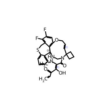 C=CC(=O)/C(O)=C1/C(=O)N2CN([C@@H]3c4ccccc4SCc4c(F)c(F)cc(c43)OC/C=C/C23CCC3)N1C